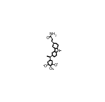 C=C(c1cc(OC)c(OC)c(OC)c1)c1ccc2c(c1)c1cc(/C=C/C(N)=O)ccc1n2C